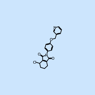 O=C1C2=C(C(=O)N1c1ccc(OCc3cccnc3)cc1)C(Cl)CCC2